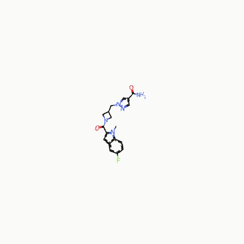 Cn1c(C(=O)N2CC(Cn3cc(C(N)=O)cn3)C2)cc2cc(F)ccc21